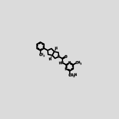 Cc1cc(C(=O)O)nc(NC(=O)N2C[C@H]3CC(c4ccccc4C(F)(F)F)C[C@H]3C2)n1